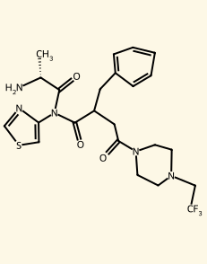 C[C@@H](N)C(=O)N(C(=O)C(CC(=O)N1CCN(CC(F)(F)F)CC1)Cc1ccccc1)c1cscn1